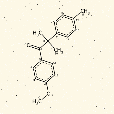 COc1ccc(C(=O)C(C)(C)c2ccc(C)cc2)cc1